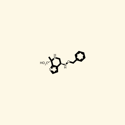 C[C@@]1(C(=O)O)NC[C@@H](NOCc2ccccc2)c2ccsc21